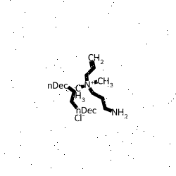 C=CC[N+](C)(C)CCCN.CCCCCCCCCCCCCCCCCCCCCC.[Cl-]